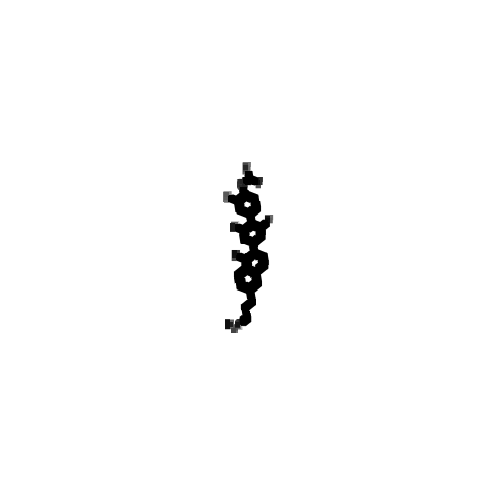 C=CCCc1ccc2c(F)c(-c3cc(F)c(-c4ccc(OC(F)F)c(F)c4)c(F)c3)ccc2c1